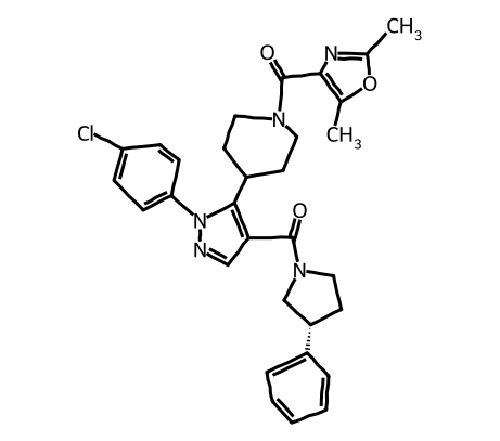 Cc1nc(C(=O)N2CCC(c3c(C(=O)N4CC[C@H](c5ccccc5)C4)cnn3-c3ccc(Cl)cc3)CC2)c(C)o1